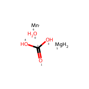 O.O=C(O)O.[MgH2].[Mn]